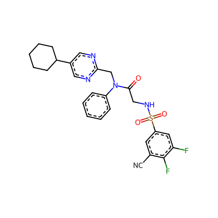 N#Cc1cc(S(=O)(=O)NCC(=O)N(Cc2ncc(C3CCCCC3)cn2)c2ccccc2)cc(F)c1F